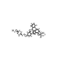 CN1CCN(CCOc2ccc(-c3nc4c(OC5(C)CC5)ncnc4n3Cc3ccccn3)c(Cl)c2)CC1